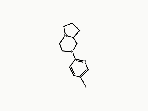 Brc1ccc(N2CCN3CCCC3C2)nc1